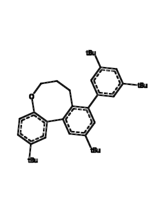 CC(C)(C)c1cc(-c2cc(C(C)(C)C)cc3c2CCCOc2ccc(C(C)(C)C)cc2-3)cc(C(C)(C)C)c1